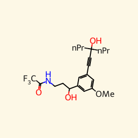 CCCC(O)(C#Cc1cc(OC)cc(C(O)CCNC(=O)C(F)(F)F)c1)CCC